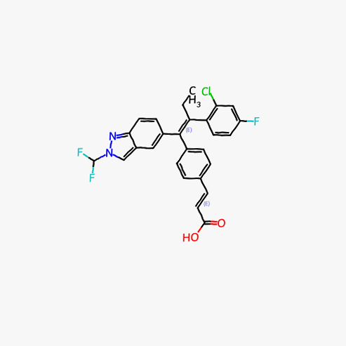 CC/C(=C(/c1ccc(/C=C/C(=O)O)cc1)c1ccc2nn(C(F)F)cc2c1)c1ccc(F)cc1Cl